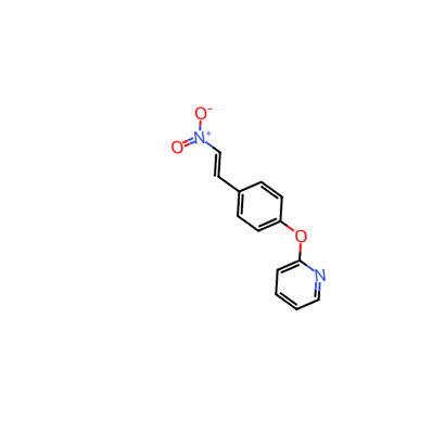 O=[N+]([O-])C=Cc1ccc(Oc2ccccn2)cc1